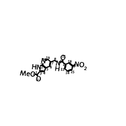 COC(=O)c1cc2cc(CNC(=O)c3cccc([N+](=O)[O-])c3)cnc2[nH]1